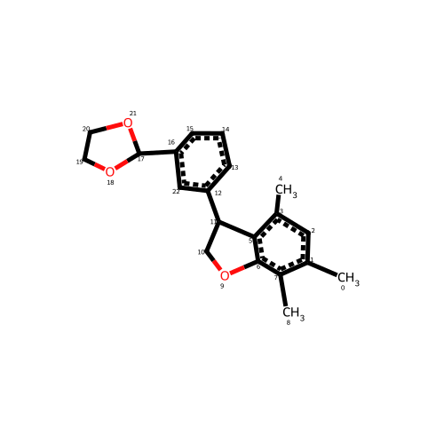 Cc1cc(C)c2c(c1C)OCC2c1cccc(C2OCCO2)c1